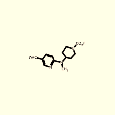 CN(c1ccc(C=O)cn1)C1CCN(C(=O)O)CC1